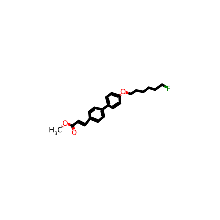 COC(=O)/C=C/c1ccc(-c2ccc(OCCCCCCF)cc2)cc1